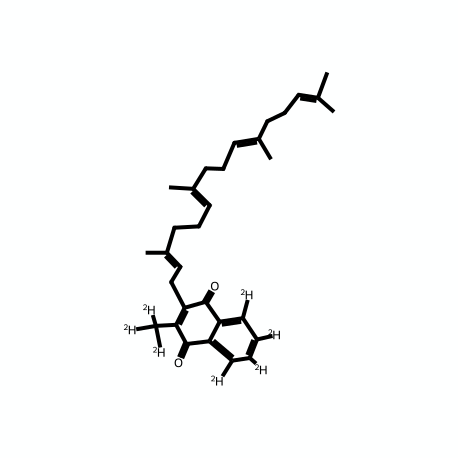 [2H]c1c([2H])c([2H])c2c(c1[2H])C(=O)C(C/C=C(\C)CC/C=C(\C)CC/C=C(\C)CCC=C(C)C)=C(C([2H])([2H])[2H])C2=O